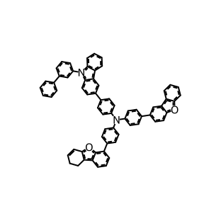 C1=Cc2oc3c(-c4ccc(N(c5ccc(-c6ccc7oc8ccccc8c7c6)cc5)c5ccc(-c6ccc7c(c6)c6ccccc6n7-c6cccc(-c7ccccc7)c6)cc5)cc4)cccc3c2CC1